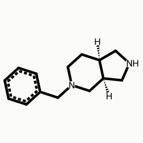 c1ccc(CN2CC[C@H]3CNC[C@H]3C2)cc1